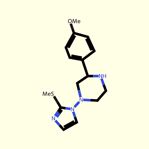 COc1ccc(C2CN(n3ccnc3SC)CCN2)cc1